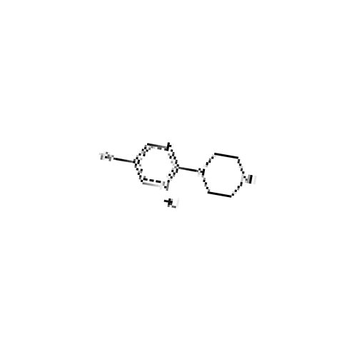 CCCc1cnc(N2CCNCC2)nc1.Cl